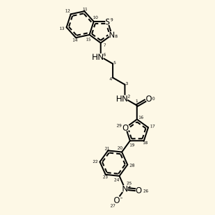 O=C(NCCCNc1nsc2ccccc12)c1ccc(-c2cccc([N+](=O)[O-])c2)o1